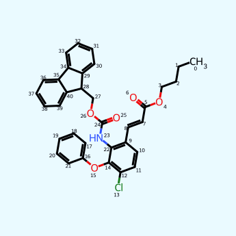 CCCCOC(=O)C=Cc1ccc(Cl)c(Oc2ccccc2)c1NC(=O)OCC1c2ccccc2-c2ccccc21